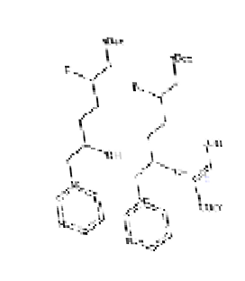 CCCCCCCCCCCC(F)CCC(O)C[n+]1cccnc1.CCCCCCCCCCCC(F)CCC(O)C[n+]1cccnc1.O=C([O-])/C=C/C(=O)[O-]